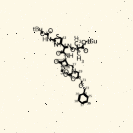 CC(C)(C)OC(=O)Nc1nc(C(=NOC(C)(C)C(=O)OC(C)(C)C)C(=O)N[C@@H]2C(=O)N(S(=O)(=O)O)[C@@H]2CN2C[C@H](COCc3ccccc3)OC2=O)cs1